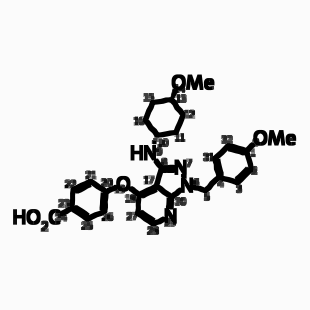 COc1ccc(Cn2nc(N[C@H]3CC[C@H](OC)CC3)c3c(Oc4ccc(C(=O)O)cc4)ccnc32)cc1